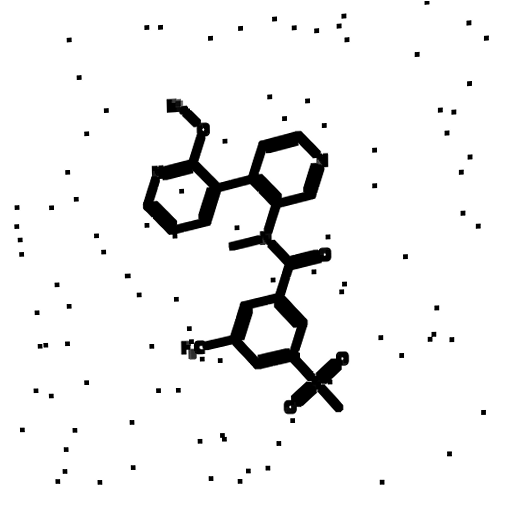 CCOc1ncccc1-c1ccncc1N(C)C(=O)c1cc(C(F)(F)F)cc(S(C)(=O)=O)c1